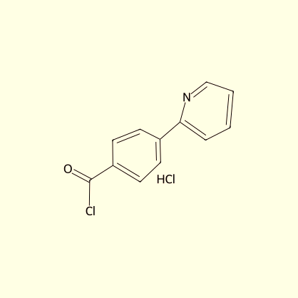 Cl.O=C(Cl)c1ccc(-c2ccccn2)cc1